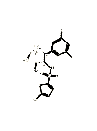 O=S(=O)(N[C@H]([CH2][Na])[C@@H](c1cc(F)cc(F)c1)C(F)(F)F)c1ccc(Cl)s1.O=S(=O)(O)O